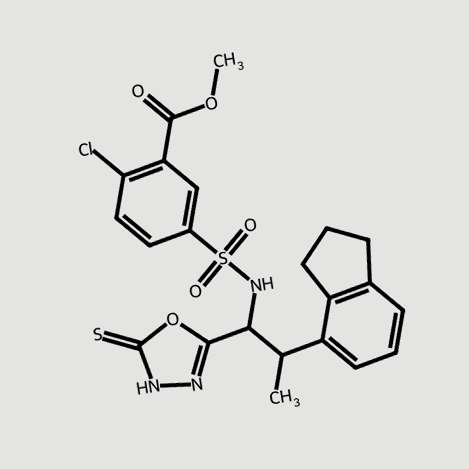 COC(=O)c1cc(S(=O)(=O)NC(c2n[nH]c(=S)o2)C(C)c2cccc3c2CCC3)ccc1Cl